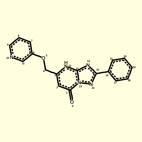 O=c1cc(COc2cccnc2)[nH]c2nc(-c3ccccc3)nn12